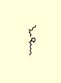 CCCCC(C)[C@@H](O)/C=C/[C@@H]1[C@H]2C(F)/C(=C/CCCC(=O)OC)O[C@@H]2C[C@H]1O